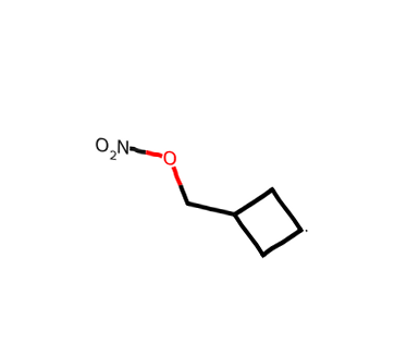 O=[N+]([O-])OCC1C[CH]C1